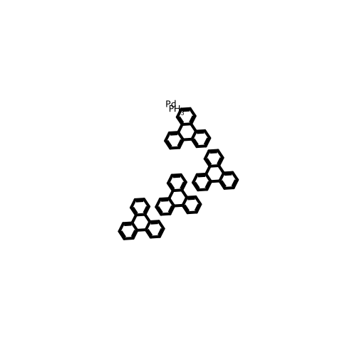 P.[Pd].c1ccc2c(c1)c1ccccc1c1ccccc21.c1ccc2c(c1)c1ccccc1c1ccccc21.c1ccc2c(c1)c1ccccc1c1ccccc21.c1ccc2c(c1)c1ccccc1c1ccccc21